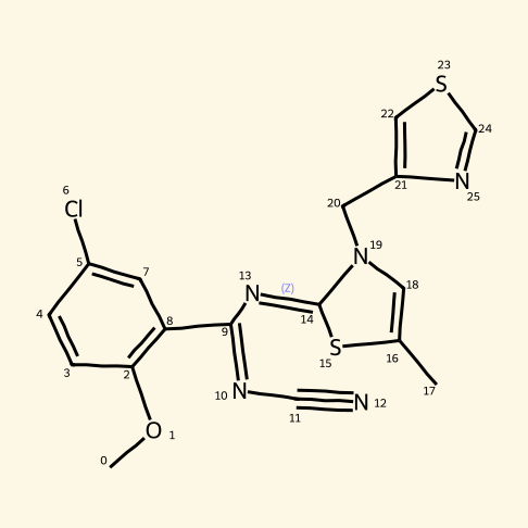 COc1ccc(Cl)cc1C(=NC#N)/N=c1\sc(C)cn1Cc1cscn1